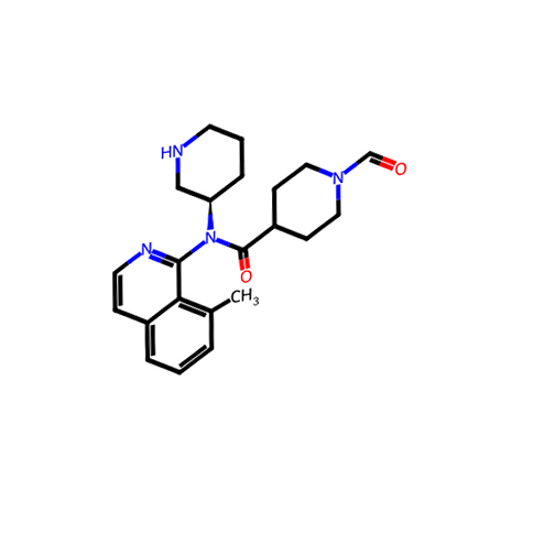 Cc1cccc2ccnc(N(C(=O)C3CCN(C=O)CC3)[C@@H]3CCCNC3)c12